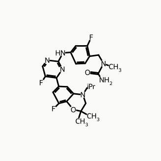 CC(C)N1CC(C)(C)Oc2c(F)cc(-c3nc(Nc4ccc(CN(C)C(N)=O)c(F)c4)ncc3F)cc21